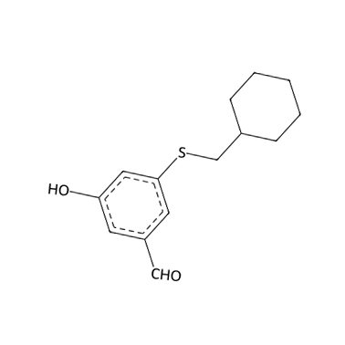 O=Cc1cc(O)cc(SCC2CCCCC2)c1